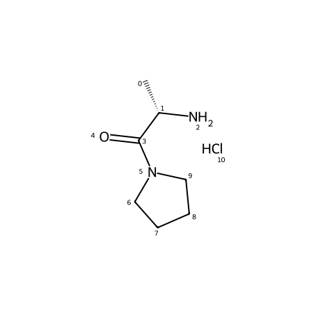 C[C@H](N)C(=O)N1CCCC1.Cl